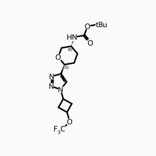 CC(C)(C)OC(=O)N[C@@H]1CC[C@@H](c2cn(C3CC(OC(F)(F)F)C3)nn2)OC1